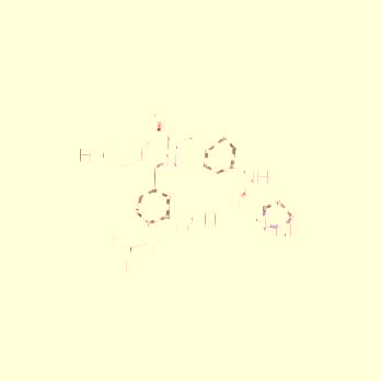 CCC1OC(=O)N(Cc2ccc(NC(=O)c3cc[nH]n3)cc2)N=C1c1ccc(OC(F)F)c(OC)c1